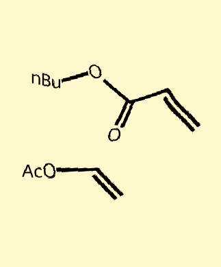 C=CC(=O)OCCCC.C=COC(C)=O